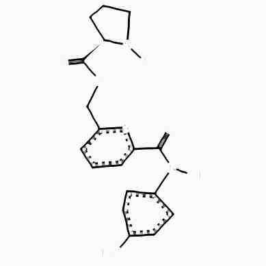 CC(=O)N1CCC[C@@H]1C(=O)OCc1cccc(C(=O)N(C)c2ccc(C)cc2)n1